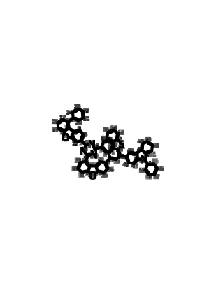 c1ccc(-c2nc(-c3ccc4c(c3)oc3cccc(-c5ccccc5)c34)nc(-c3cccc4oc5ccc(-c6cc(-c7ccc8c(c7)c7ccccc7n8-c7ccccc7)c7sc8ccccc8c7c6)cc5c34)n2)cc1